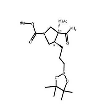 CC(=O)N[C@@]1(C(N)=O)CN(C(=O)OC(C)(C)C)C[C@@H]1CCCB1OC(C)(C)C(C)(C)O1